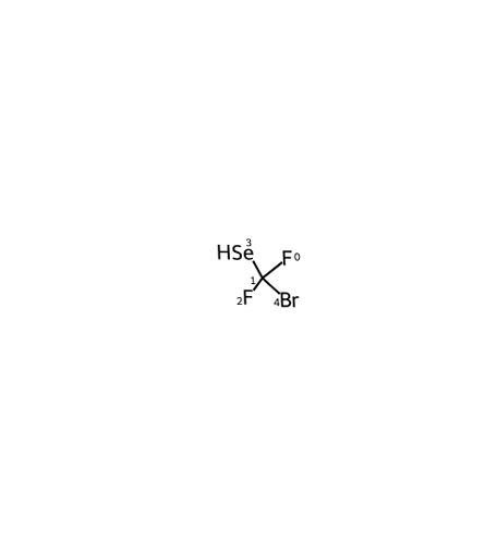 FC(F)([SeH])Br